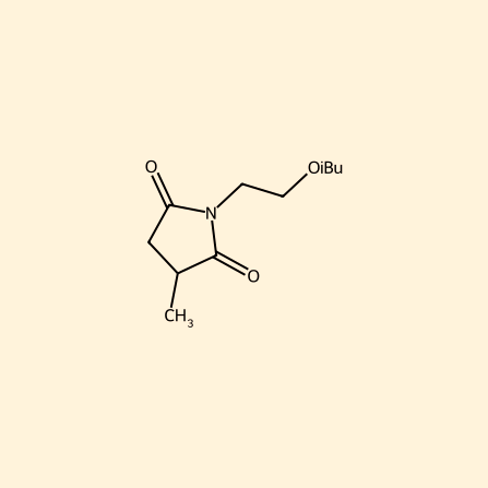 CC(C)COCCN1C(=O)CC(C)C1=O